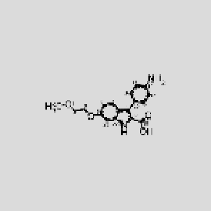 COCCOc1ccc2c(-c3ccc(N)cc3)c(C(=O)O)[nH]c2c1